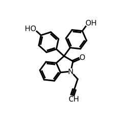 C#CCN1C(=O)C(c2ccc(O)cc2)(c2ccc(O)cc2)c2ccccc21